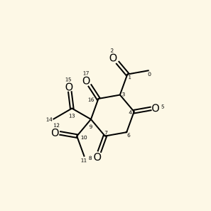 CC(=O)C1C(=O)CC(=O)C(C(C)=O)(C(C)=O)C1=O